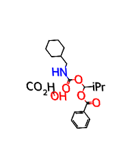 CC(C)C(OC(=O)NCC1CCCCC1)OC(=O)c1ccccc1.O=C(O)O